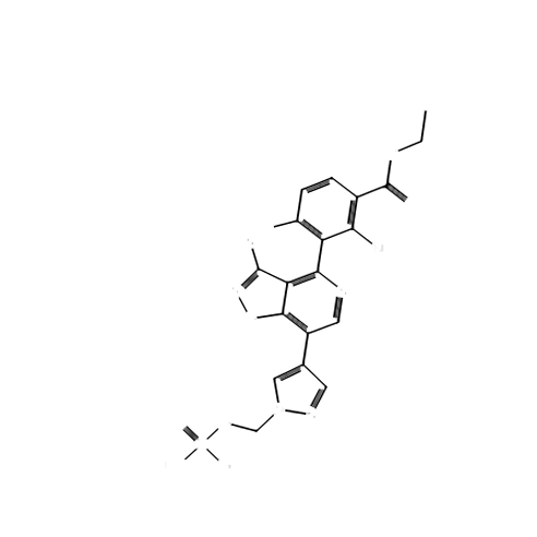 CCOC(=O)c1ccc(F)c(-c2ncc(-c3cnn(COP(=O)(O)O)c3)c3onc(N)c23)c1N